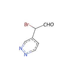 O=CC(Br)c1ccnnc1